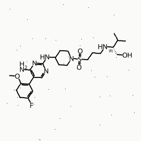 COC1=C(c2cnc(NC3CCN(S(=O)(=O)CCCN[C@@H](CO)C(C)C)CC3)nc2N)C=C(F)C[CH]1